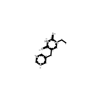 CCn1cc(Cc2cncnc2)c(=O)[nH]c1=S